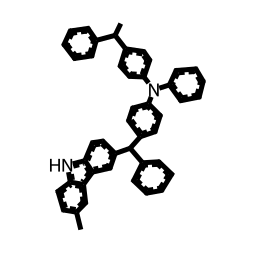 Cc1ccc2[nH]c3ccc(C(c4ccccc4)c4ccc(N(c5ccccc5)c5ccc(C(C)c6ccccc6)cc5)cc4)cc3c2c1